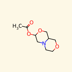 CC(=O)OC1CN2CCOCC2CO1